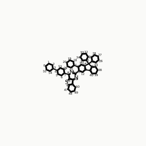 c1ccc(-c2ccc(-c3nc(-c4cc5c(cc4-c4ccccc4)C(c4ccccc4)(c4ccccc4)c4ccccc4-5)nc4c3sc3ccccc34)cc2)cc1